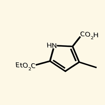 CCOC(=O)c1cc(C)c(C(=O)O)[nH]1